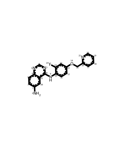 Nc1ccc2ncnc(Nc3ccc(OCc4ccccn4)cc3F)c2c1